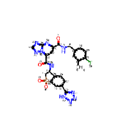 Cc1cc(CNC(=O)c2cc(C(=O)NC3CS(=O)(=O)c4cc(-c5nnn[nH]5)ccc43)n3ncnc3n2)ccc1F